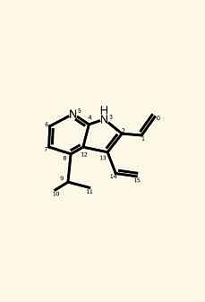 C=Cc1[nH]c2nccc(C(C)C)c2c1C=C